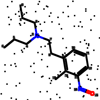 CCCN(CCC)CCc1cccc(N=O)c1C